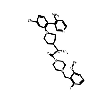 CCOc1cccc(F)c1CN1CCN(C(=O)[C@H](N)C2CCN(c3cc(Cl)ccc3-c3cnccc3N)CC2)CC1